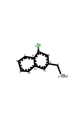 CC(C)(C)Cc1cc(Br)c2ccccc2c1